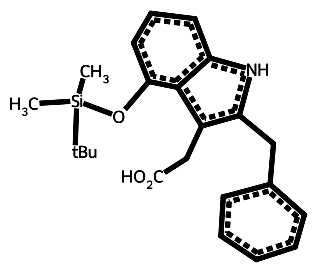 CC(C)(C)[Si](C)(C)Oc1cccc2[nH]c(Cc3ccccc3)c(CC(=O)O)c12